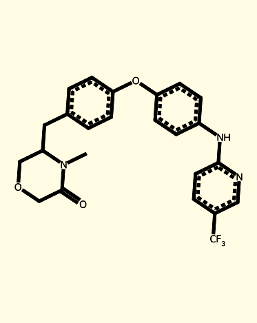 CN1C(=O)COCC1Cc1ccc(Oc2ccc(Nc3ccc(C(F)(F)F)cn3)cc2)cc1